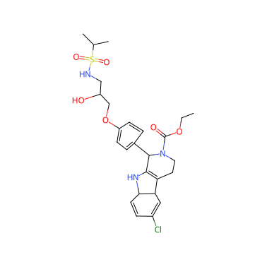 CCOC(=O)N1CCC2=C(NC3C=CC(Cl)=CC23)C1c1ccc(OCC(O)CNS(=O)(=O)C(C)C)cc1